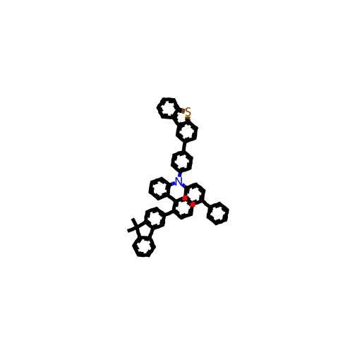 CC1(C)c2ccccc2-c2cc(-c3ccccc3-c3ccccc3N(c3ccc(-c4ccccc4)cc3)c3ccc(-c4ccc5sc6ccccc6c5c4)cc3)ccc21